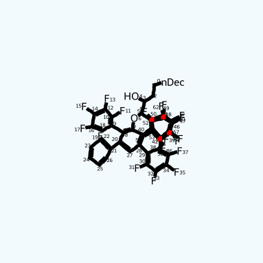 CCCCCCCCCCCCC(O)C(Oc1c(-c2c(F)c(F)c(F)c(F)c2F)c(-c2ccccc2)[c]c(-c2c(F)c(F)c(F)c(F)c2F)c1-c1c(F)c(F)c(F)c(F)c1F)c1c(F)c(F)c(F)c(F)c1F